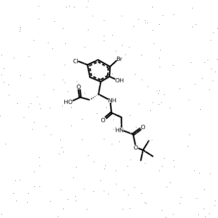 CC(C)(C)OC(=O)NCC(=O)N[C@H](CC(=O)O)c1cc(Cl)cc(Br)c1O